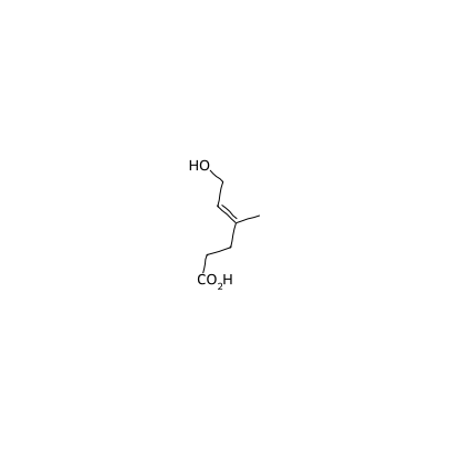 CC(=CCO)CCC(=O)O